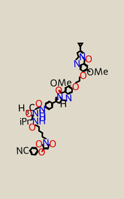 COc1cc2c(cc1OCCCOc1cc3c(cc1OC)C(=O)N1C=C(c4ccc(NC(=O)C(C)NC(=O)C(NC(=O)CCCCCN5C(=O)C=C(Oc6ccc(C#N)cc6)C5=O)C(C)C)cc4)C[C@@H]1C=N3)N=CC1CC(C3CC3)=CN1C2=O